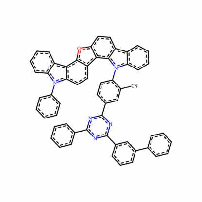 N#Cc1cc(-c2nc(-c3ccccc3)nc(-c3cccc(-c4ccccc4)c3)n2)ccc1-n1c2ccccc2c2ccc3oc4c(ccc5c4c4ccccc4n5-c4ccccc4)c3c21